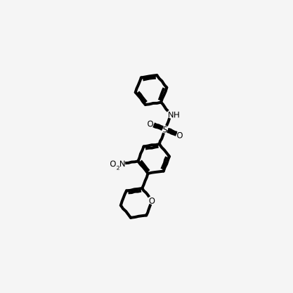 O=[N+]([O-])c1cc(S(=O)(=O)Nc2ccccc2)ccc1C1=CCCCO1